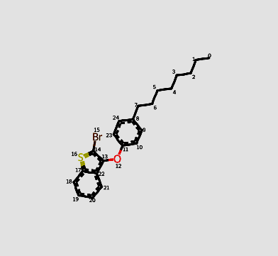 CCCCCCCCc1ccc(Oc2c(Br)sc3ccccc23)cc1